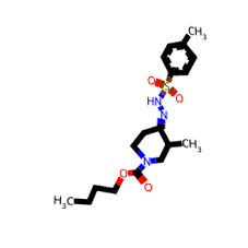 CCCCOC(=O)N1CCC(=NNS(=O)(=O)c2ccc(C)cc2)C(C)C1